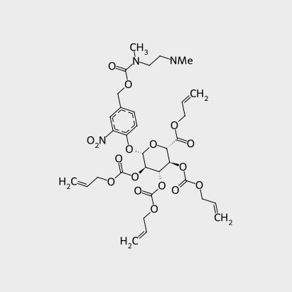 C=CCOC(=O)O[C@@H]1[C@@H](OC(=O)OCC=C)[C@H](Oc2ccc(COC(=O)N(C)CCNC)cc2[N+](=O)[O-])O[C@H](C(=O)OCC=C)[C@H]1OC(=O)OCC=C